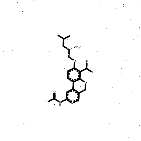 CC(=O)Nc1cc2c(cn1)COc1c-2ccc(OC[C@@H](N)CC(C)C)c1C(F)F